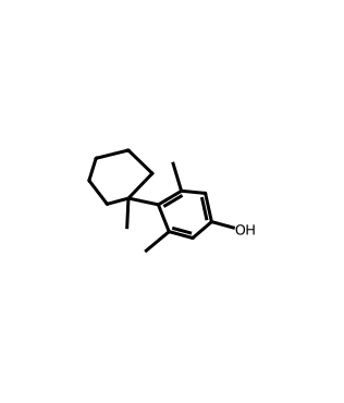 Cc1cc(O)cc(C)c1C1(C)CCCCC1